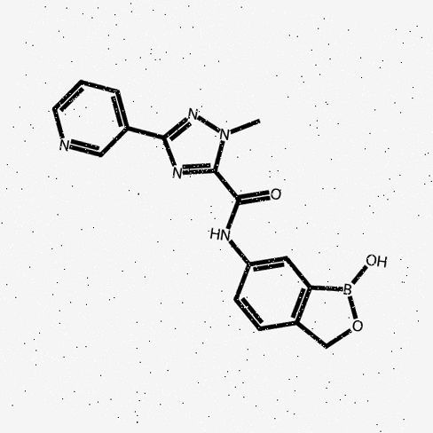 Cn1nc(-c2cccnc2)nc1C(=O)Nc1ccc2c(c1)B(O)OC2